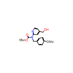 COc1ccc(CN(C(=O)OC(C)(C)C)c2cc(CO)ccn2)cc1